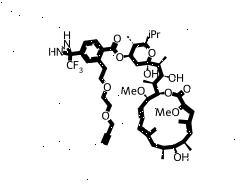 C#CCOCCOCCc1cc(C2(C(F)(F)F)NN2)ccc1C(=O)O[C@@H]1C[C@](O)([C@@H](C)[C@H](O)[C@H](C)[C@H]2OC(=O)/C(OC)=C/C(C)=C/[C@@H](C)[C@@H](O)[C@@H](C)C/C(C)=C/C=C/[C@@H]2OC)O[C@H](C(C)C)[C@H]1C